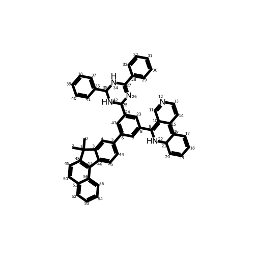 CC1(C)c2cc(-c3cc(C4=c5cnccc5=C5C=CC=CC5N4)cc(C4N=C(c5ccccc5)NC(c5ccccc5)N4)c3)ccc2-c2c1ccc1ccccc21